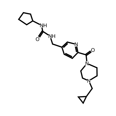 O=C(NCc1ccc(C(=O)N2CCN(CC3CC3)CC2)nc1)NC1CCCC1